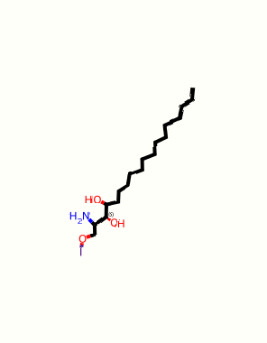 CCCCCCCCCCCCCCC(O)[C@@H](O)C(N)COI